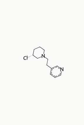 Cl[C@@H]1CCCN(CCc2cccnc2)C1